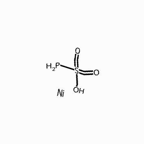 O=S(=O)(O)P.[Ni]